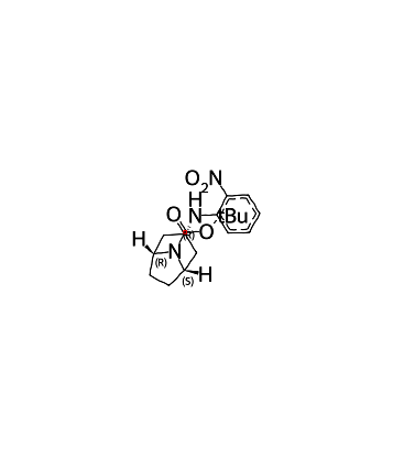 CC(C)(C)OC(=O)N1[C@@H]2CC[C@H]1C[C@@H](Nc1ccccc1[N+](=O)[O-])C2